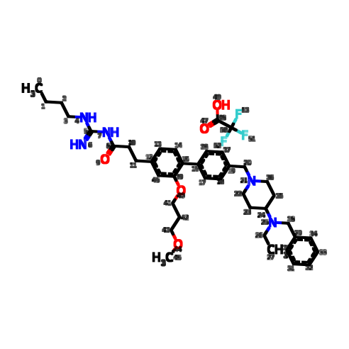 CCCCNC(=N)NC(=O)CCc1ccc(-c2ccc(CN3CCC(N(CC)Cc4ccccc4)CC3)cc2)c(OCCCOC)c1.O=C(O)C(F)(F)F